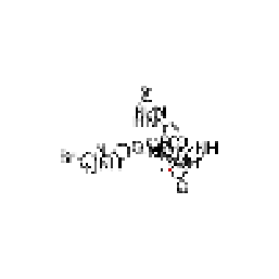 COc1cccc(N2CCNCC2C(Oc2ccc(-c3nc4cc(Br)cnc4[nH]3)cc2)(C(C)O)C(O)C(NCC(O)COc2ccc(-c3nc4cc(Br)cnc4[nH]3)cc2)C(C)C)c1